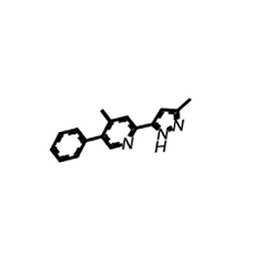 Cc1cc(-c2cc(C)c(-c3ccccc3)cn2)[nH]n1